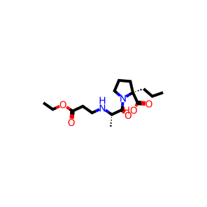 CCC[C@@]1(C(=O)O)CCCN1C(=O)[C@H](C)NCCC(=O)OCC